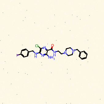 Nc1nc(NCc2ccc(I)cc2)c(Cl)nc1C(=O)NCCN1CCN(Cc2ccccc2)CC1